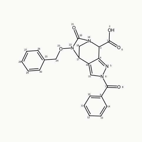 O=C(O)C1c2nn(C(=O)c3ccccc3)cc2C2CN1C(=O)N2OCc1ccccc1